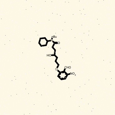 CCCCN(C(=O)CCC(O)CCCOc1cccc([N+](=O)[O-])c1C=O)C1CCCCC1